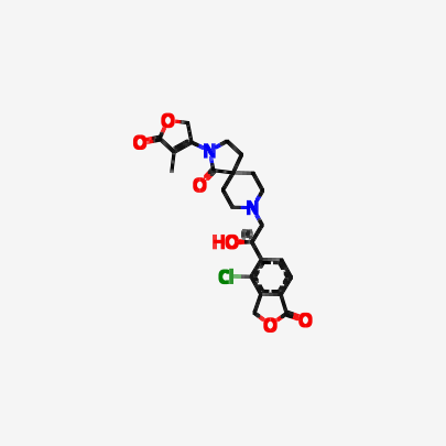 CC1=C(N2CCC3(CCN(C[C@H](O)c4ccc5c(c4Cl)COC5=O)CC3)C2=O)COC1=O